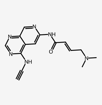 C#CNc1ncnc2cnc(NC(=O)C=CCN(C)C)cc12